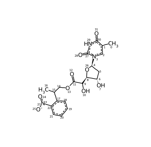 Cc1cn([C@H]2C[C@H](O)[C@@H](C(O)C(=O)OCC(C)c3ccccc3[N+](=O)[O-])O2)c(=O)[nH]c1=O